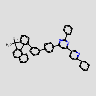 CC1(C)c2cccc(-c3cccc(-c4ccc(-c5cc(-c6ccc(-c7ccccc7)nc6)nc(-c6ccccc6)n5)cc4)c3)c2-c2c1ccc1ccccc21